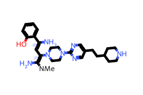 CN/C(N)=C(/C=C(\N)c1ccccc1O)N1CCN(c2ncc(CCC3CCNCC3)cn2)CC1